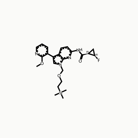 COc1ncccc1-c1cn(COCC[Si](C)(C)C)c2nc(NC(=O)[C@H]3C[C@H]3F)ccc12